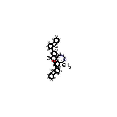 C=C1/C=C\C=C/CC2(c3ccccc31)c1ccc(-c3cccc4c3sc3ccccc34)cc1C(=O)c1ccc(-c3cccc4c3sc3ccccc34)cc12